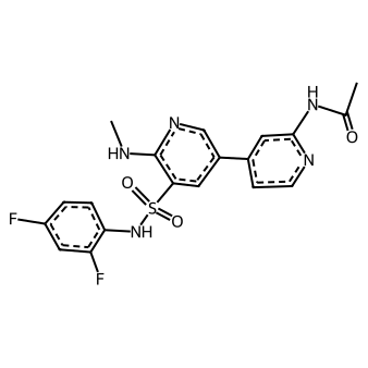 CNc1ncc(-c2ccnc(NC(C)=O)c2)cc1S(=O)(=O)Nc1ccc(F)cc1F